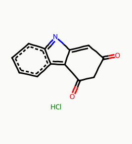 Cl.O=C1C=C2N=c3ccccc3=C2C(=O)C1